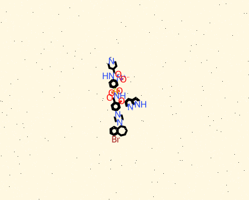 CN1CCC(CNc2ccc(S(=O)(=O)NC(=O)c3ccc(N4CCN([C@@H]5CCCCc6c(Br)cccc65)CC4)cc3Oc3cnc4[nH]ccc4c3)cc2[N+](=O)[O-])CC1